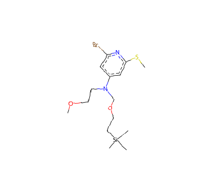 COCCN(COCC[Si](C)(C)C)c1cc(Br)nc(SC)c1